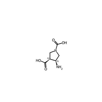 N[C@@H]1CN(C(=O)O)C[C@@H]1C(=O)O